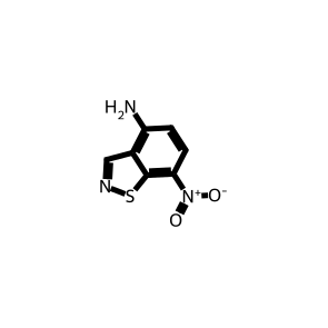 Nc1ccc([N+](=O)[O-])c2sncc12